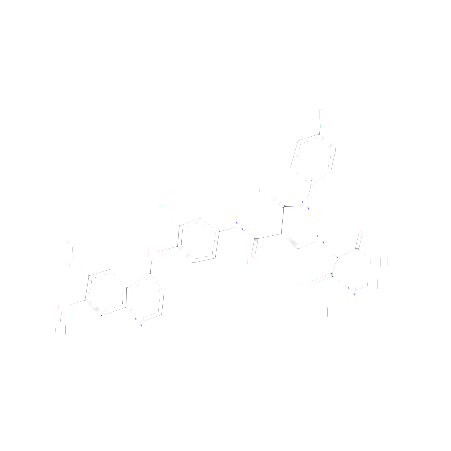 COc1cc2nccc(Oc3ccc(NC(=O)/C(=C/NC(C(C)=O)C(=O)N(C)C)C(=O)Nc4ccc(F)cc4)cc3F)c2cc1OC